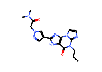 CCCn1c(=O)c2[nH]c(-c3cnn(CC(=O)N(C)C)c3)nc2n2ccnc12